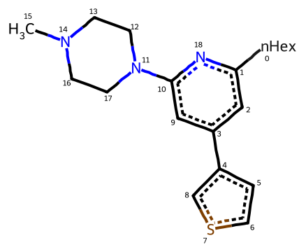 CCCCCCc1cc(-c2ccsc2)cc(N2CCN(C)CC2)n1